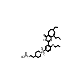 CCCOc1ccc(S(=O)(=O)N2CCC(CCONO)CC2)cc1-c1nc2c(c(=O)[nH]1)CCC(CC)C=C2CCC